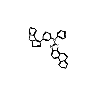 c1ccc(N(c2cccc(-c3cccc4sc5ccccc5c34)c2)c2nc3ccc4c5ccccc5ccc4c3s2)cc1